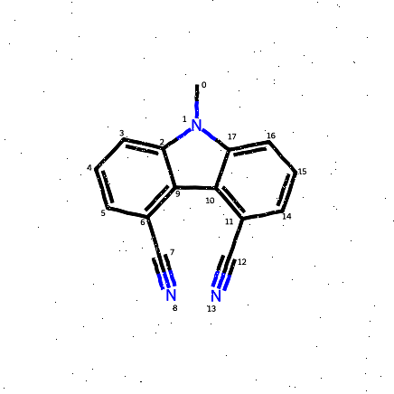 Cn1c2cccc(C#N)c2c2c(C#N)cccc21